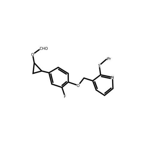 CC(C)Sc1ncccc1COc1ccc(C2CC2OC=O)cc1F